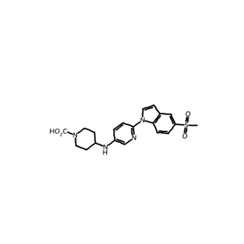 CS(=O)(=O)c1ccc2c(ccn2-c2ccc(NC3CCN(C(=O)O)CC3)cn2)c1